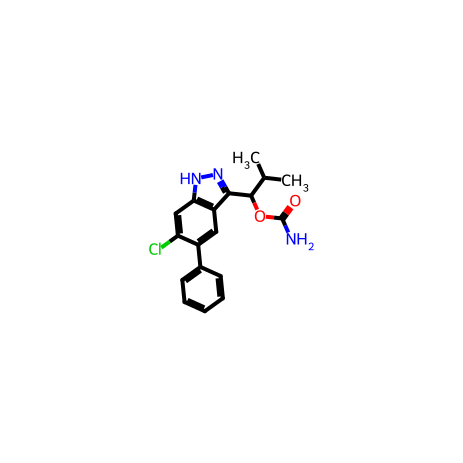 CC(C)C(OC(N)=O)c1n[nH]c2cc(Cl)c(-c3ccccc3)cc12